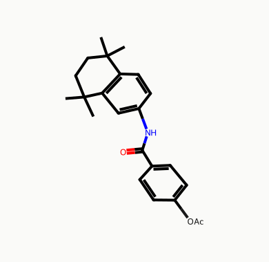 CC(=O)Oc1ccc(C(=O)Nc2ccc3c(c2)C(C)(C)CCC3(C)C)cc1